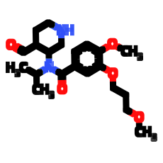 COCCCOc1cc(C(=O)N(C(C)C)C2CNCCC2C=O)ccc1OC